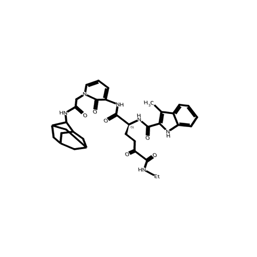 CCNC(=O)C(=O)CC[C@H](NC(=O)c1[nH]c2ccccc2c1C)C(=O)Nc1cccn(CC(=O)NC2C3CC4CC(C3)CC2C4)c1=O